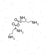 NCCCC[C@H](N)C(=O)OC(=O)[C@H](N)CCCN